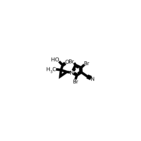 CC1(C(=O)O)CC1n1c(Br)c(Br)c(C#N)c1Br